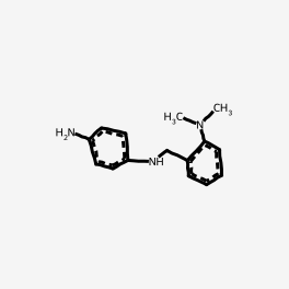 CN(C)c1ccccc1CNc1ccc(N)cc1